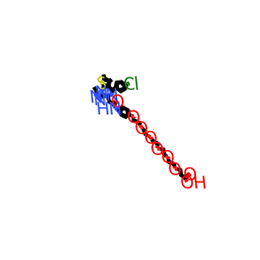 Cc1sc2c(c1C)C(c1ccc(Cl)cc1)=NC(CC(=O)Nc1ccc(OCCOCCOCCOCCOCCOCCC(=O)O)cc1)c1nnc(C)n1-2